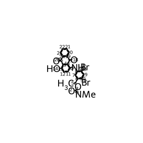 CNC(=O)OC(C)c1cc(Nc2ccc(O)c3c2C(=O)c2ccccc2C3=O)c(Br)cc1Br